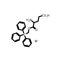 NC(CCC(=O)O)C(=O)OC[P+](c1ccccc1)(c1ccccc1)c1ccccc1.[Br-]